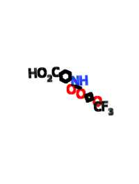 O=C(CO[C@H]1C[C@@H](OC(F)(F)F)C1)N[C@H]1CC[C@H](C(=O)O)CC1